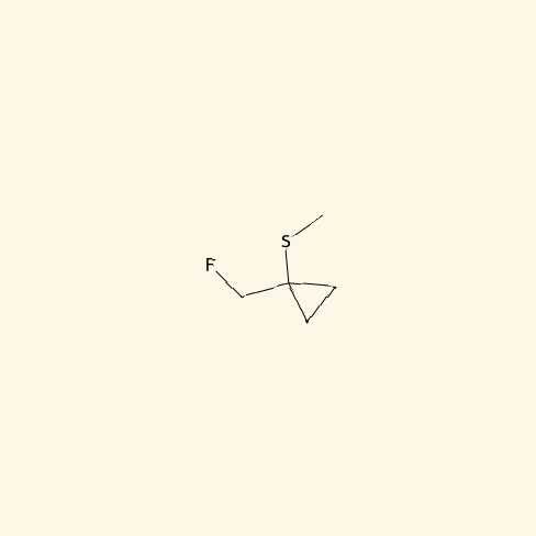 CSC1(CF)CC1